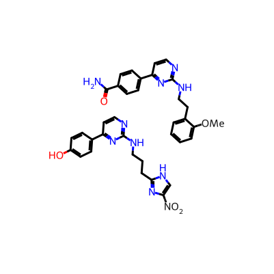 COc1ccccc1CCNc1nccc(-c2ccc(C(N)=O)cc2)n1.O=[N+]([O-])c1c[nH]c(CCCNc2nccc(-c3ccc(O)cc3)n2)n1